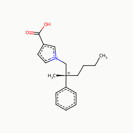 CCCC[C@@](C)(Cn1ccc(C(=O)O)c1)c1ccccc1